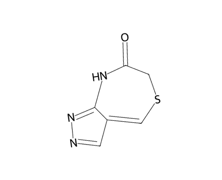 O=C1CSC=C2C=NN=C2N1